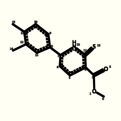 COC(=O)c1ccc(-c2ccc(C)c(C)c2)[nH]c1=S